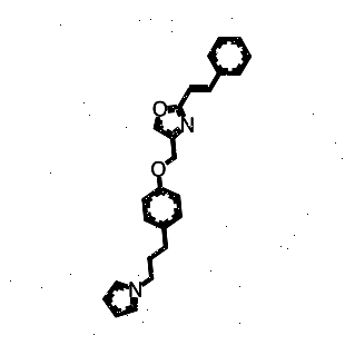 C(=Cc1nc(COc2ccc(CCCn3cccc3)cc2)co1)c1ccccc1